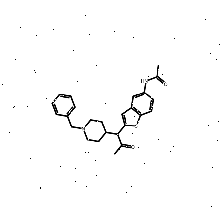 CC(=O)Nc1ccc2sc(C(C(C)=O)C3CCN(Cc4ccccc4)CC3)cc2c1